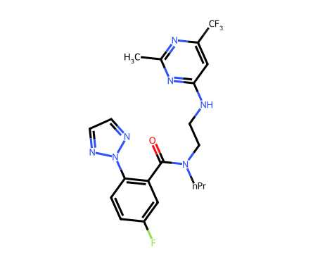 CCCN(CCNc1cc(C(F)(F)F)nc(C)n1)C(=O)c1cc(F)ccc1-n1nccn1